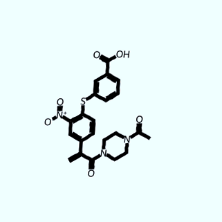 C=C(C(=O)N1CCN(C(C)=O)CC1)c1ccc(Sc2cccc(C(=O)O)c2)c([N+](=O)[O-])c1